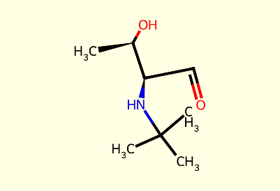 C[C@@H](O)[C@@H](C=O)NC(C)(C)C